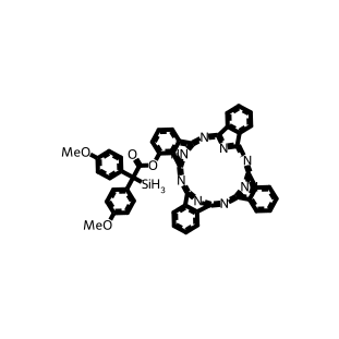 COc1ccc(C([SiH3])(C(=O)Oc2cccc3c4nc5nc(nc6[nH]c(nc7nc(nc([nH]4)c23)-c2ccccc2-7)c2ccccc62)-c2ccccc2-5)c2ccc(OC)cc2)cc1